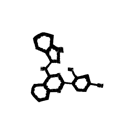 N#Cc1cc(O)ccc1-c1nc(Nc2n[nH]c3ccccc23)c2ccccc2n1